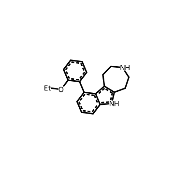 CCOc1ccccc1-c1cccc2[nH]c3c(c12)CCNCC3